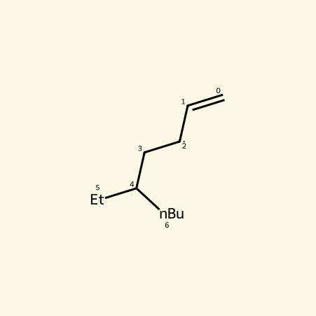 C=C[CH]CC(CC)CCCC